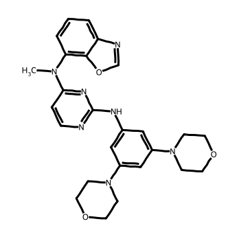 CN(c1ccnc(Nc2cc(N3CCOCC3)cc(N3CCOCC3)c2)n1)c1cccc2ncoc12